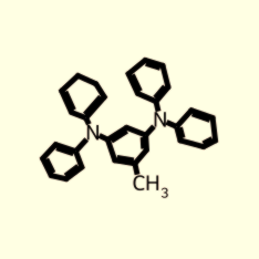 Cc1cc(N(C2=CCCC=C2)c2ccccc2)cc(N(c2ccccc2)c2ccccc2)c1